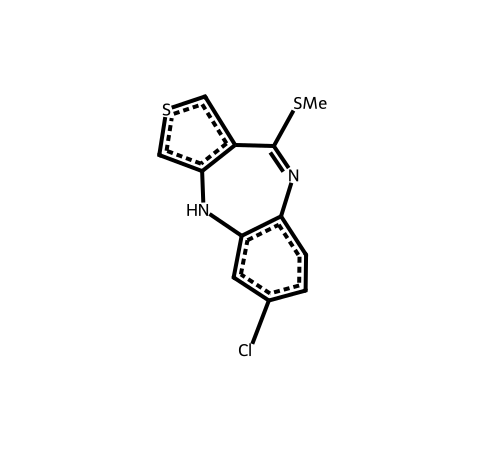 CSC1=Nc2ccc(Cl)cc2Nc2cscc21